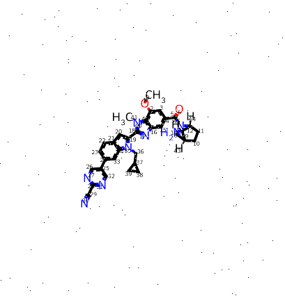 COc1cc(C(=O)N2C[C@H]3CC[C@@H]2[C@@H]3N)cc2nc(-c3cc4ccc(-c5cnc(C#N)nc5)cc4n3CC3CC3)n(C)c12